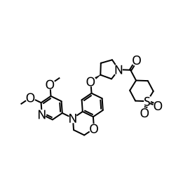 COc1cc(N2CCOc3ccc(O[C@H]4CCN(C(=O)C5CCS(=O)(=O)CC5)C4)cc32)cnc1OC